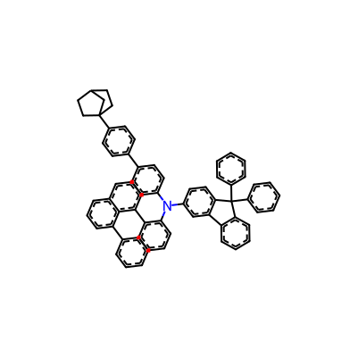 c1ccc(-c2cccc3cccc(-c4ccccc4N(c4ccc(-c5ccc(C67CCC(CC6)C7)cc5)cc4)c4ccc5c(c4)-c4ccccc4C5(c4ccccc4)c4ccccc4)c23)cc1